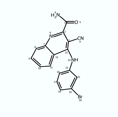 N#Cc1c(C(N)=O)nc2cc[c]cc2c1Nc1cccc(Br)c1